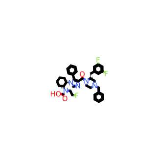 O=C(c1ncn([C@H]2CCCC[C@@H]2N(CCF)C(=O)O)c1-c1ccccc1)N1CCN(Cc2ccccc2)C[C@H]1Cc1cc(F)cc(F)c1